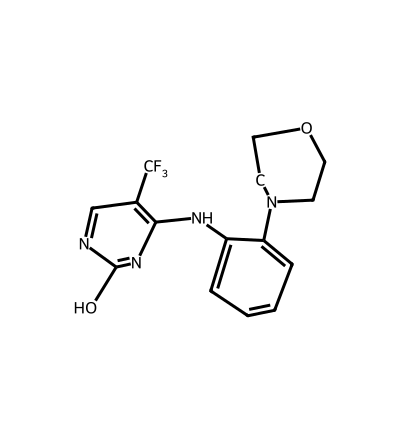 Oc1ncc(C(F)(F)F)c(Nc2ccccc2N2CCOCC2)n1